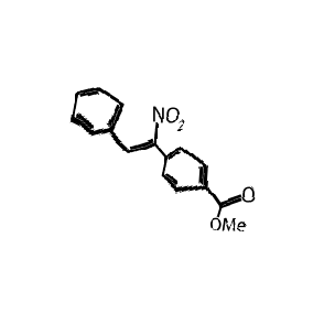 COC(=O)c1ccc(C(=Cc2ccccc2)[N+](=O)[O-])cc1